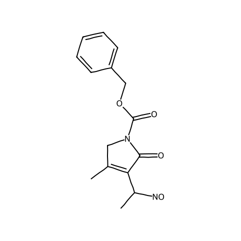 CC1=C(C(C)N=O)C(=O)N(C(=O)OCc2ccccc2)C1